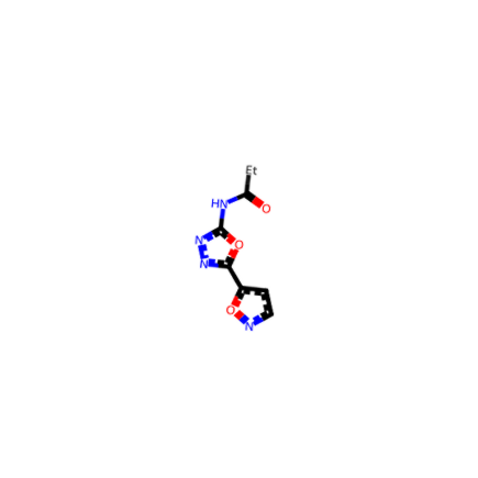 CCC(=O)Nc1nnc(-c2ccno2)o1